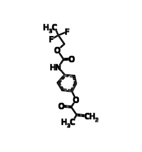 C=C(C)C(=O)Oc1ccc(NC(=O)OCC(C)(F)F)cc1